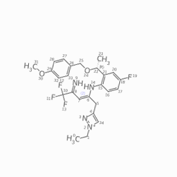 CC[N+]1=NC(C/C(=C/C(=N)C(F)(F)F)Nc2ccc(F)cc2[C@@H](C)OCc2ccc(OC)cc2)=C1